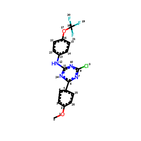 COc1ccc(-c2nc(Cl)nc(Nc3ccc(OC(F)(F)F)cc3)n2)cc1